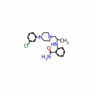 CC(CN1CCN(c2cccc(Cl)c2)CC1)Nc1ccccc1C(N)=O